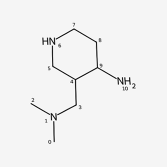 CN(C)CC1CNCCC1N